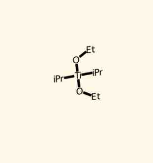 CC[O][Ti]([O]CC)([CH](C)C)[CH](C)C